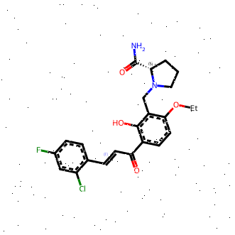 CCOc1ccc(C(=O)/C=C/c2ccc(F)cc2Cl)c(O)c1CN1CCC[C@H]1C(N)=O